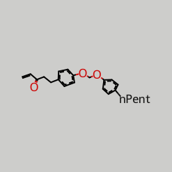 C=CC(=O)CCc1ccc(OCOc2ccc(CCCCC)cc2)cc1